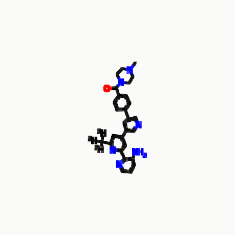 [2H]C([2H])([2H])c1cc(-c2cncc(-c3ccc(C(=O)N4CCN(C)CC4)cc3)c2)cc(-c2ncccc2N)n1